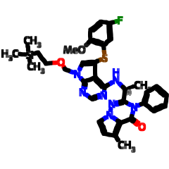 COc1ccc(F)cc1Sc1cn(COCC[Si](C)(C)C)c2ncnc(N[C@@H](C)c3nn4ccc(C)c4c(=O)n3-c3ccccc3)c12